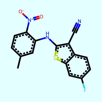 Cc1ccc([N+](=O)[O-])c(Nc2sc3cc(F)ccc3c2C#N)c1